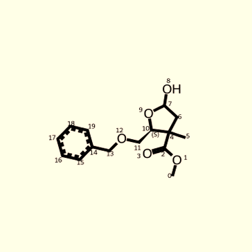 COC(=O)C1(C)CC(O)O[C@@H]1COCc1ccccc1